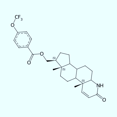 C[C@]12C=CC(=O)NC1CCC1C2CC[C@@]2(C)C1CC[C@@H]2COC(=O)c1ccc(OC(F)(F)F)cc1